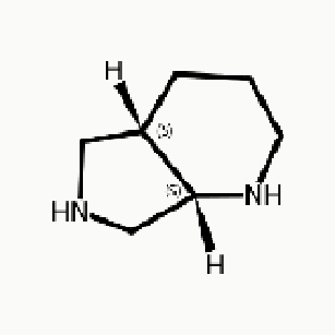 C1CN[C@@H]2CNC[C@@H]2C1